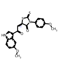 COc1ccc(N2C(=O)/C(=C\C(=O)c3c[nH]c4ccc(OC)cc34)SC2=S)cc1